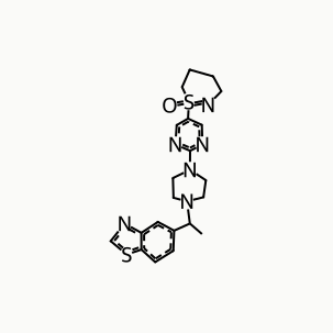 CC(c1ccc2scnc2c1)N1CCN(c2ncc(S3(=O)=NCCCC3)cn2)CC1